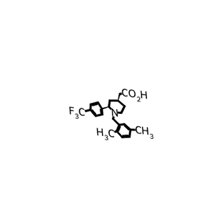 Cc1ccc(C)c(CN2CC[C@H](CC(=O)O)C[C@@H]2c2ccc(C(F)(F)F)cc2)c1